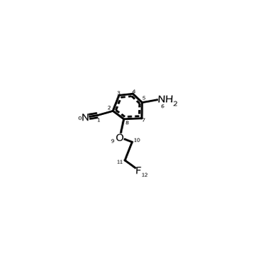 N#Cc1ccc(N)cc1OCCF